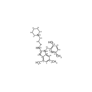 Cc1cc(C)c2nc(NCCCN3CCCCC3)n(Cc3nc(C)ccc3O)c2c1